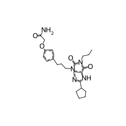 CCCn1c(=O)c2[nH]c(C3CCCC3)nc2n(CCCc2ccc(OCC(N)=O)cc2)c1=O